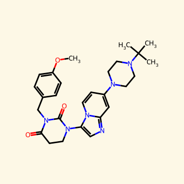 COc1ccc(CN2C(=O)CCN(c3cnc4cc(N5CCN(C(C)(C)C)CC5)ccn34)C2=O)cc1